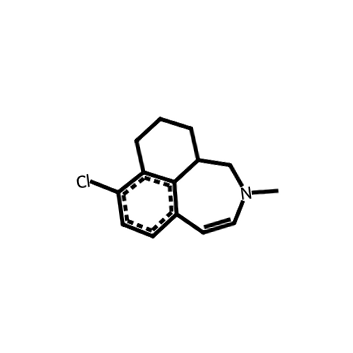 CN1C=Cc2ccc(Cl)c3c2C(CCC3)C1